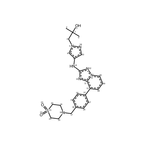 CC(C)(O)Cn1cc(Nc2nc3c(-c4ccc(CN5CCS(=O)(=O)CC5)cc4)cccn3n2)cn1